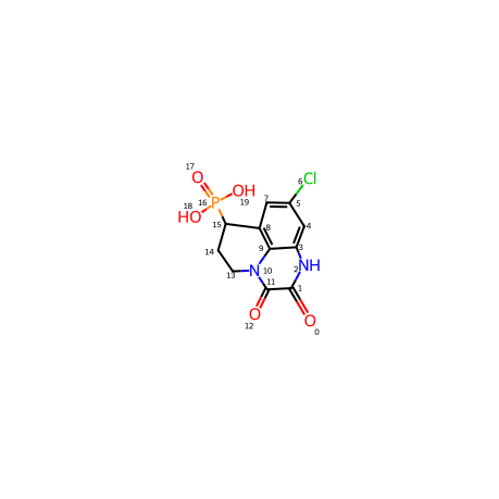 O=c1[nH]c2cc(Cl)cc3c2n(c1=O)CCC3P(=O)(O)O